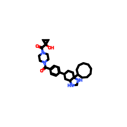 O=C(c1ccc(C2CCC3(C4CCCCCCCC4)NCNC3C2)cc1)N1CCN(C(=O)C2(O)CC2)CC1